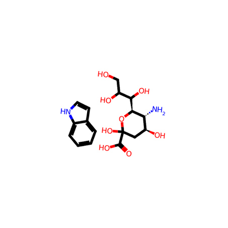 N[C@@H]1[C@@H](O)CC(O)(C(=O)O)O[C@H]1C(O)C(O)CO.c1ccc2[nH]ccc2c1